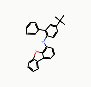 CC(C)(C)c1ccc(Nc2cccc3c2oc2ccccc23)c(-c2ccccc2)c1